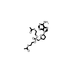 CC(=O)SCCOP(=O)(C[C@@H]1CC[C@H](n2cnc3c(N)ncnc32)O1)OCCSC(C)=O